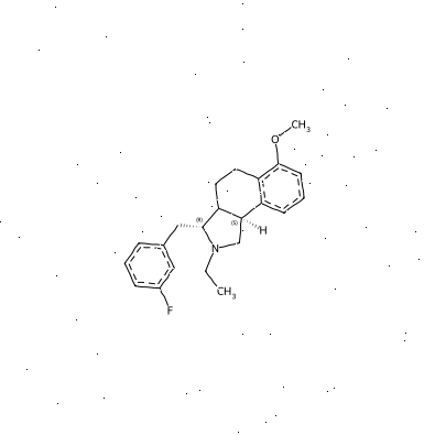 CCN1C[C@@H]2c3cccc(OC)c3CCC2[C@H]1Cc1cccc(F)c1